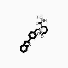 O=C(NO)[C@H]1CCCS(=O)(=O)N1Cc1ccc(-c2cc3ccccc3s2)cc1